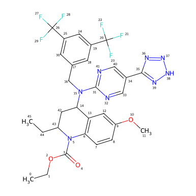 CCOC(=O)N1c2ccc(OC)cc2C(N(Cc2cc(C(F)(F)F)cc(C(F)(F)F)c2)c2ncc(-c3nn[nH]n3)cn2)CC1CC